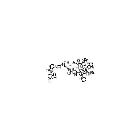 CCC[C@H](NC(=O)[C@@H]1C2CCC[C@H]2CN1C(=O)[C@@H](NC(=O)[C@@H](NC(=O)c1cnc(C(=O)NCCCN(C)CCCNc2cccc3c2CN(C2CCC(=O)NC2=O)C3=O)cn1)C1CCCCC1)C(C)(C)C)C(=O)C(=O)NC1CC1